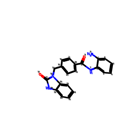 Nc1ccccc1NC(=O)c1ccc(Cn2c(=O)[nH]c3ccccc32)cc1